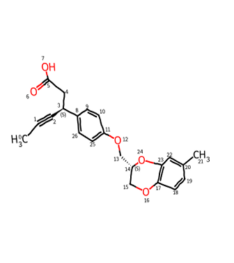 CC#C[C@@H](CC(=O)O)c1ccc(OC[C@H]2COc3ccc(C)cc3O2)cc1